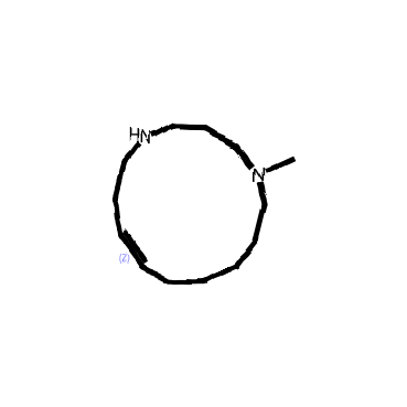 CN1CCCCC/C=C\CCNCCC1